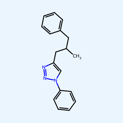 CC(Cc1ccccc1)Cc1cn(-c2ccccc2)nn1